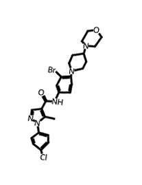 Cc1c(C(=O)Nc2ccc(N3CCC(N4CCOCC4)CC3)c(Br)c2)cnn1-c1ccc(Cl)cc1